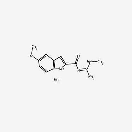 CNC(N)=NC(=O)c1cc2cc(OC)ccc2[nH]1.Cl